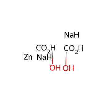 O=C(O)O.O=C(O)O.[NaH].[NaH].[Zn]